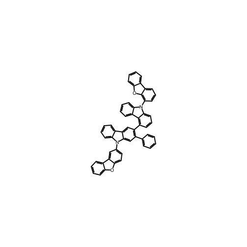 c1ccc(-c2cc3c(cc2-c2cccc4c2c2ccccc2n4-c2cccc4c2oc2ccccc24)c2ccccc2n3-c2ccc3oc4ccccc4c3c2)cc1